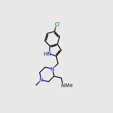 CNCC1CN(C)CCN1Cc1cc2cc(Cl)ccc2[nH]1